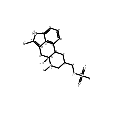 CN1CC(COS(C)(=O)=O)CC2c3cccc4[nH]c(Br)c(c34)C[C@H]21